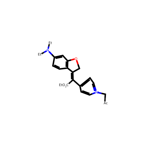 CCOC(=O)/C(=C1/COc2cc(N(CC)CC)ccc21)c1cc[n+](CC(C)=O)cc1